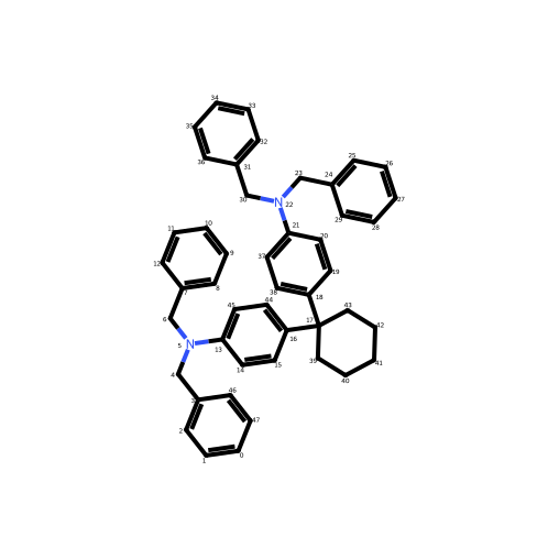 c1ccc(CN(Cc2ccccc2)c2ccc(C3(c4ccc(N(Cc5ccccc5)Cc5ccccc5)cc4)CCCCC3)cc2)cc1